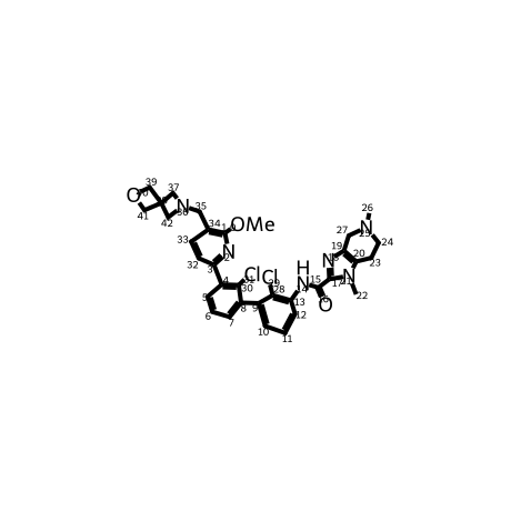 COc1nc(-c2cccc(-c3cccc(NC(=O)c4nc5c(n4C)CCN(C)C5)c3Cl)c2Cl)ccc1CN1CC2(COC2)C1